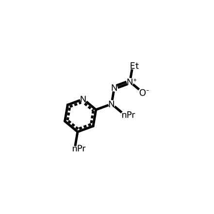 CCCc1ccnc(N(CCC)N=[N+]([O-])CC)c1